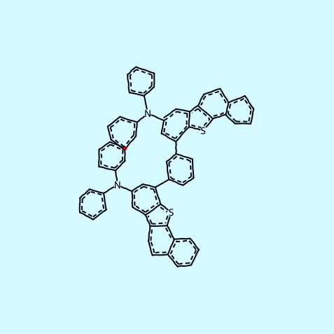 c1ccc(N(c2ccccc2)c2cc(-c3cccc(-c4cc(N(c5ccccc5)c5ccccc5)cc5c4sc4c6ccccc6ccc54)c3)c3sc4c5ccccc5ccc4c3c2)cc1